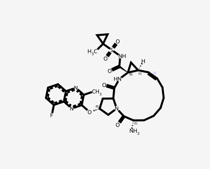 Cc1nc2cccc(F)c2nc1O[C@@H]1CC2C(=O)N[C@]3(C(=O)NS(=O)(=O)C4(C)CC4)C[C@H]3/C=C\CCCCC[C@H](N)C(=O)N2C1